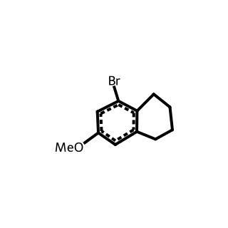 COc1cc(Br)c2c(c1)CCCC2